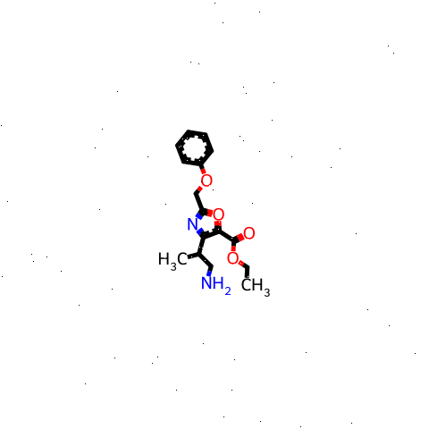 CCOC(=O)c1oc(COc2ccccc2)nc1C(C)CN